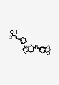 CN(c1ccc2c(c1)OCO2)c1ccc2ncc(-c3cccc(/C=C/C(=O)O)c3)n2n1